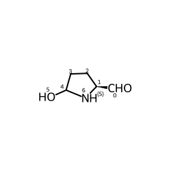 O=C[C@@H]1CCC(O)N1